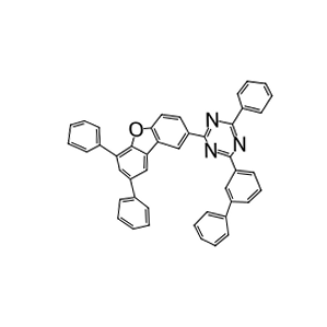 c1ccc(-c2cccc(-c3nc(-c4ccccc4)nc(-c4ccc5oc6c(-c7ccccc7)cc(-c7ccccc7)cc6c5c4)n3)c2)cc1